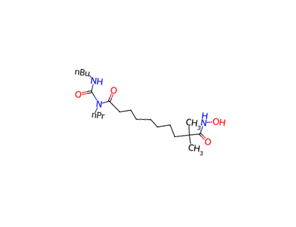 CCCCNC(=O)N(CCC)C(=O)CCCCCCCC(C)(C)C(=O)NO